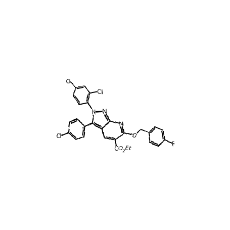 CCOC(=O)c1cc2c(-c3ccc(Cl)cc3)n(-c3ccc(Cl)cc3Cl)nc2nc1OCc1ccc(F)cc1